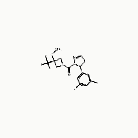 COC1(C(F)(F)F)CN(C(=O)N2N=CCC2c2cc(F)cc(F)c2)C1